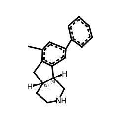 Cc1cc(-c2ccccc2)cc2c1C[C@H]1CCNC[C@@H]21